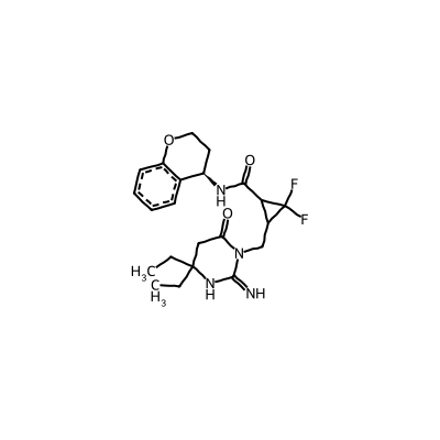 CCC1(CC)CC(=O)N(CC2C(C(=O)N[C@@H]3CCOc4ccccc43)C2(F)F)C(=N)N1